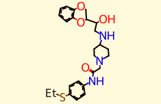 CCSc1ccc(NC(=O)CN2CCC(NCC(O)C3COc4ccccc4O3)CC2)cc1